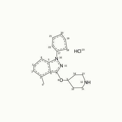 Cc1cccc2c1c(OC1CCNCC1)nn2-c1ccccc1.Cl